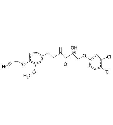 C#CCOc1ccc(CCNC(=O)[C@H](O)COc2ccc(Cl)c(Cl)c2)cc1OC